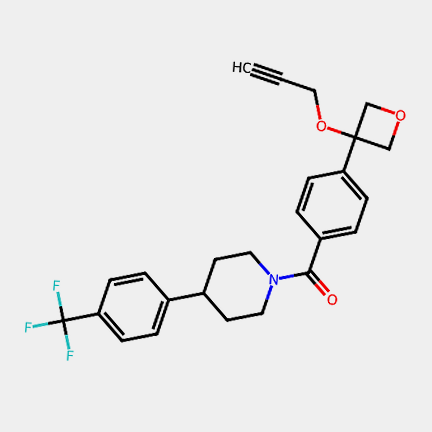 C#CCOC1(c2ccc(C(=O)N3CCC(c4ccc(C(F)(F)F)cc4)CC3)cc2)COC1